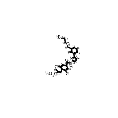 C/C(=C\c1c(Cl)cc(C(=O)Nc2nc(-c3cccc(COCCC(C)(C)C)c3F)cs2)cc1Cl)C(=O)O